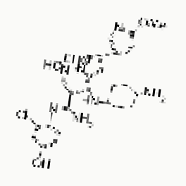 COc1ccc(-c2cc3c(N[C@H]4CC[C@H](N)CC4)c(C(N)=Nc4ccc(O)cc4Cl)cnn3c2)cn1.O=CO